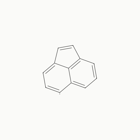 [c]1ccc2c3c(cccc13)C=C2